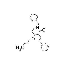 CCCCOc1ccn(Cc2ccccc2)c(=O)c1/C=C/c1ccccc1